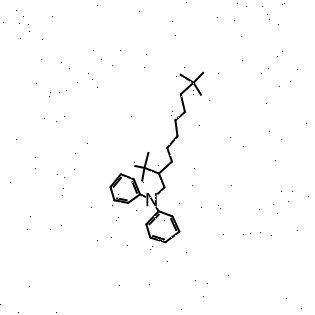 CC(C)(C)CCCCCCC(CN(c1ccccc1)c1ccccc1)C(C)(C)C